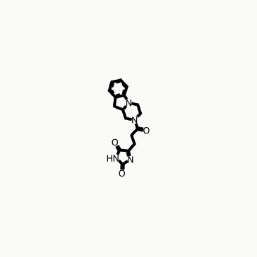 O=C1N=C(CCC(=O)N2CCN3c4ccccc4CC3C2)C(=O)N1